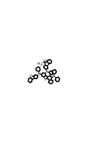 CC1(C)c2ccccc2-c2cc(N(c3ccccc3)c3cc(N(c4ccccc4)c4ccc5c(c4)oc4ccccc45)cc4sc5c6ccccc6c(N(c6ccccc6)c6ccccc6)cc5c34)ccc21